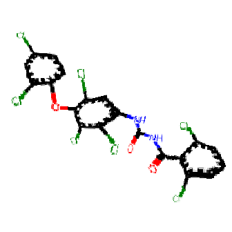 O=C(NC(=O)c1c(Cl)cccc1Cl)Nc1cc(Cl)c(Oc2ccc(Cl)cc2Cl)c(Cl)c1Cl